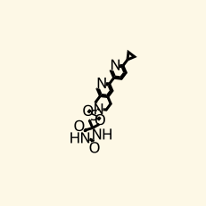 CC1(CS(=O)(=O)N2CCc3cc(-c4ccc(C5CC5)nc4)ncc3C2)NC(=O)NC1=O